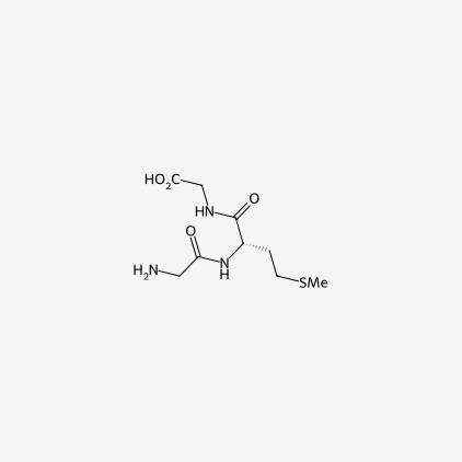 CSCC[C@H](NC(=O)CN)C(=O)NCC(=O)O